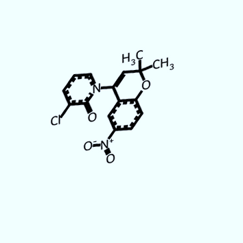 CC1(C)C=C(n2cccc(Cl)c2=O)c2cc([N+](=O)[O-])ccc2O1